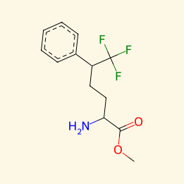 COC(=O)C(N)CCC(c1ccccc1)C(F)(F)F